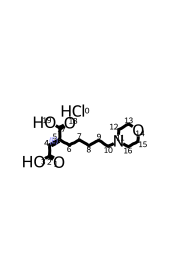 Cl.O=C(O)/C=C(\CCCCCN1CCOCC1)C(=O)O